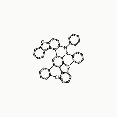 Cc1ccccc1-c1cc2c3c4c1c1ccccc1n4-c1ccccc1B3N(c1ccccc1)c1ccc3oc4ccccc4c3c1-2